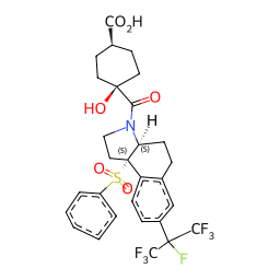 O=C(O)[C@H]1CC[C@](O)(C(=O)N2CC[C@]3(S(=O)(=O)c4ccccc4)c4ccc(C(F)(C(F)(F)F)C(F)(F)F)cc4CC[C@H]23)CC1